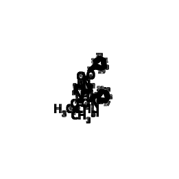 CC(C)(C)OC(=O)N1CC[C@@H]2[C@H]1[C@@H](c1c[nH]c3ccccc13)CN2C(=O)OCc1ccccc1